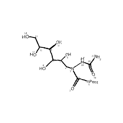 CCCCCC(=O)N(CC(O)C(O)C(O)C(O)CO)NC(N)=O